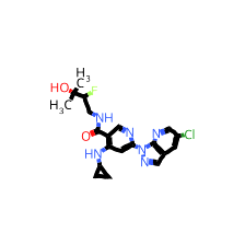 CC(C)(O)C(F)CNC(=O)c1cnc(-n2ncc3cc(Cl)cnc32)cc1NC1CC1